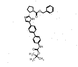 CC(C)(C)OC(=O)Nc1ccc(-c2ccc(-c3cnc([C@@H]4CCCN4C(=O)OCc4ccccc4)[nH]3)cc2)cc1